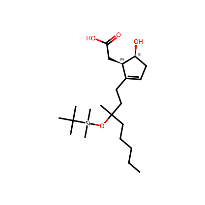 CCCCCC(C)(CCC1=CC[C@H](O)[C@@H]1CC(=O)O)O[Si](C)(C)C(C)(C)C